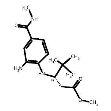 CNC(=O)c1ccc(N[C@@H](CC(=O)OC)C(C)(C)C)c(N)c1